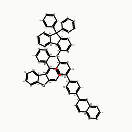 c1ccc(C2(c3ccccc3)c3ccccc3-c3c(N(c4ccc(-c5ccc(-c6ccc7ccccc7c6)cc5)cc4)c4ccccc4-c4cccc5sc6ccccc6c45)cccc32)cc1